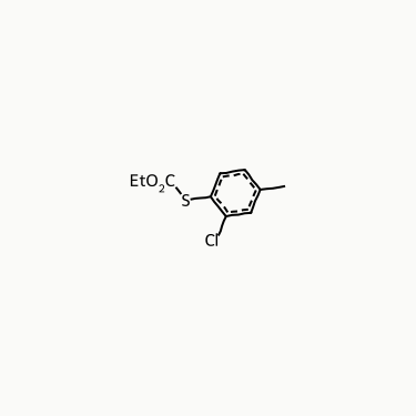 CCOC(=O)Sc1ccc(C)cc1Cl